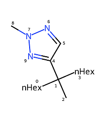 CCCCCCC(C)(CCCCCC)c1cnn(C)n1